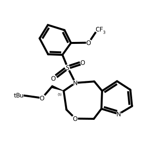 CC(C)(C)OC[C@@H]1COCc2ncccc2CN1S(=O)(=O)c1ccccc1OC(F)(F)F